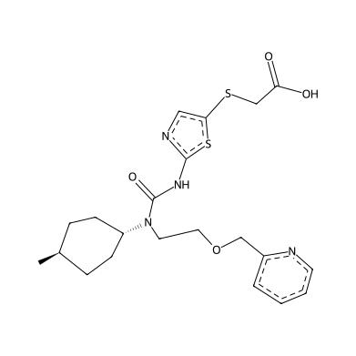 C[C@H]1CC[C@H](N(CCOCc2ccccn2)C(=O)Nc2ncc(SCC(=O)O)s2)CC1